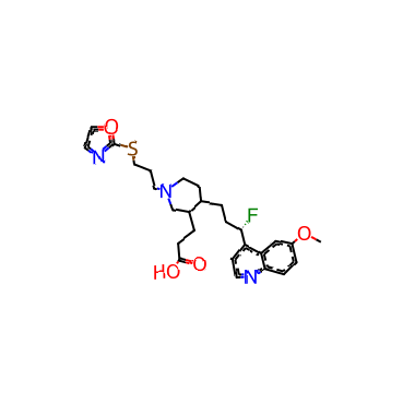 COc1ccc2nccc([C@@H](F)CCC3CCN(CCCSc4ncco4)CC3CCC(=O)O)c2c1